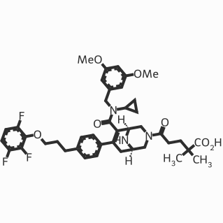 COc1cc(CN(C(=O)C2=C(c3ccc(CCCOc4c(F)ccc(F)c4F)cc3)C[C@@H]3CN(C(=O)CCC(C)(C)C(=O)O)C[C@H]2N3)C2CC2)cc(OC)c1